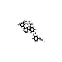 Cc1cc(C)cc(C(CC(C)C)NC(=O)c2cc(OCc3cccc(SC(F)(F)F)c3)ccc2CCC(=O)O)c1